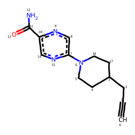 C#CCC1CCN(c2cnc(C(N)=O)cn2)CC1